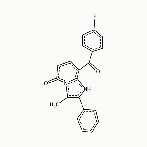 Cc1c(-c2ccccc2)[nH]c2c(C(=O)c3ccc(F)cc3)ccc(=O)n12